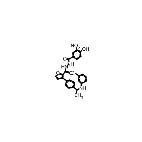 CC(Nc1cccc(Cl)c1)c1ccc(-c2ccoc2C(=O)NNC(=O)c2ccc(O)c([N+](=O)[O-])c2)cc1